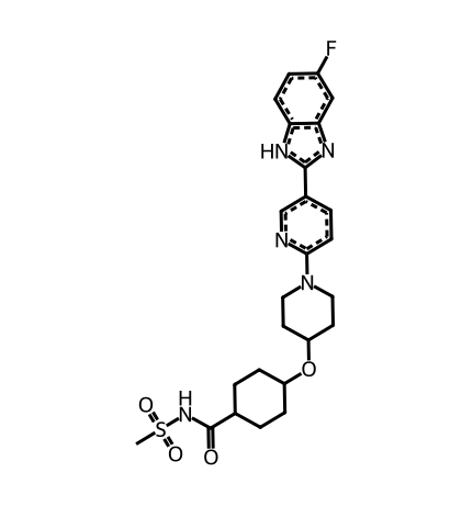 CS(=O)(=O)NC(=O)C1CCC(OC2CCN(c3ccc(-c4nc5cc(F)ccc5[nH]4)cn3)CC2)CC1